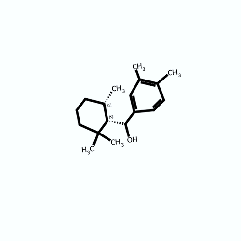 Cc1ccc(C(O)[C@H]2[C@@H](C)CCCC2(C)C)cc1C